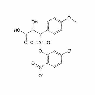 COc1ccc(C(C(O)C(=O)O)S(=O)(=O)Oc2cc(Cl)ccc2[N+](=O)[O-])cc1